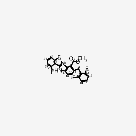 COC(=O)c1c(Cc2c(F)cccc2F)ccc2[nH]c(-c3c(F)cccc3F)nc12